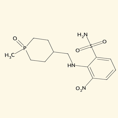 CP1(=O)CCC(CNc2c([N+](=O)[O-])cccc2S(N)(=O)=O)CC1